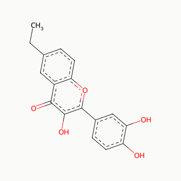 CCc1ccc2oc(-c3ccc(O)c(O)c3)c(O)c(=O)c2c1